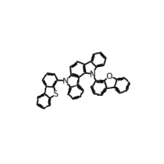 c1ccc2c(c1)oc1c(-n3c4ccccc4c4ccc5c(c6ccccc6n5-c5cccc6c5sc5ccccc56)c43)cccc12